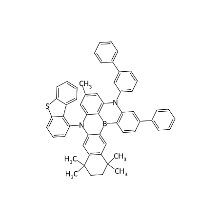 Cc1cc2c3c(c1)N(c1cccc4sc5ccccc5c14)c1cc4c(cc1B3c1ccc(-c3ccccc3)cc1N2c1cccc(-c2ccccc2)c1)C(C)(C)CCC4(C)C